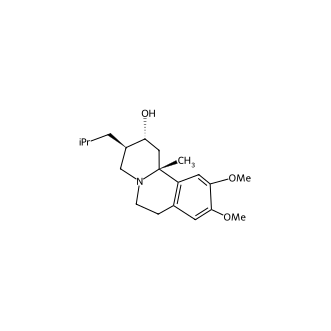 COc1cc2c(cc1OC)[C@@]1(C)C[C@@H](O)[C@H](CC(C)C)CN1CC2